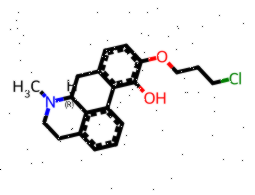 CN1CCc2cccc3c2[C@H]1Cc1ccc(OCCCCl)c(O)c1-3